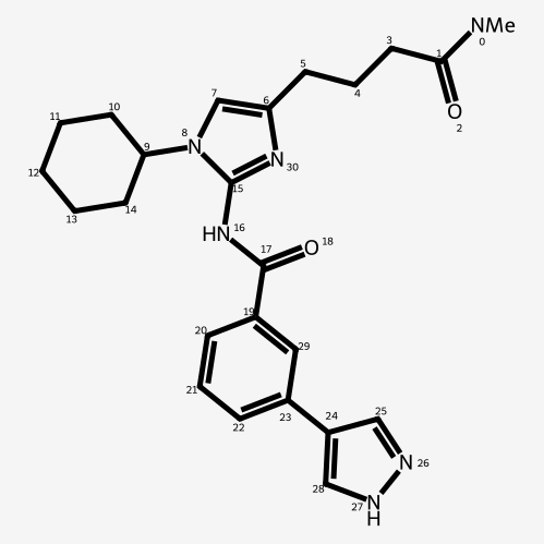 CNC(=O)CCCc1cn(C2CCCCC2)c(NC(=O)c2cccc(-c3cn[nH]c3)c2)n1